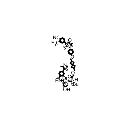 Cc1ncsc1-c1ccc([C@H](C)NC(=O)[C@@H]2C[C@@H](O)CN2C(=O)[C@@H](NC(=O)COCC2CC3(C2)CC(COc2ccc(N4C(=S)N(c5ccc(C#N)c(C(F)(F)F)c5)C(=O)C4(C)C)cc2)C3)C(C)(C)C)cc1